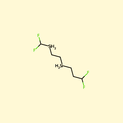 FC(F)CC[SiH2]CC[SiH2]C(F)F